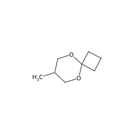 CC1COC2(CCC2)OC1